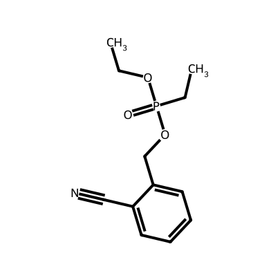 CCOP(=O)(CC)OCc1ccccc1C#N